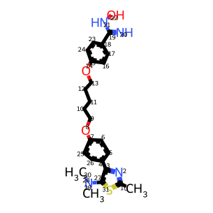 Cc1nc(-c2ccc(OCCCCCOc3ccc(C(=N)NO)cc3)cc2)c(N(C)C)s1